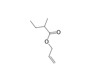 C=CCOC(=O)C(C)CC